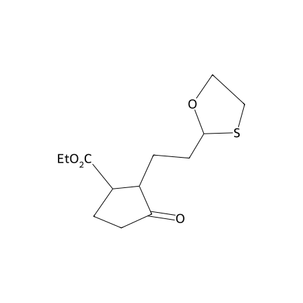 CCOC(=O)C1CCC(=O)C1CCC1OCCS1